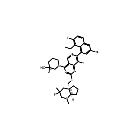 CCc1c(F)ccc2cc(O)cc(-c3ncc4c(N5CCC[C@@](C)(O)C5)nc(OC[C@]56CCC[C@H]5N(C)CC(C)(F)C6)nc4c3F)c12